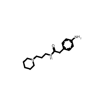 Nc1ccc(CC(=O)NCCCN2CCCCC2)cc1